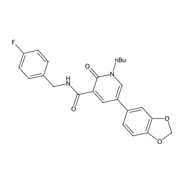 CCCCn1cc(-c2ccc3c(c2)OCO3)cc(C(=O)NCc2ccc(F)cc2)c1=O